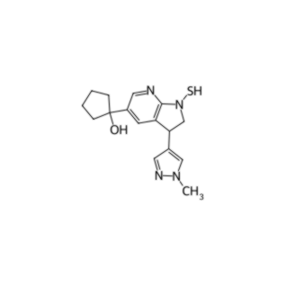 Cn1cc(C2CN(S)c3ncc(C4(O)CCCC4)cc32)cn1